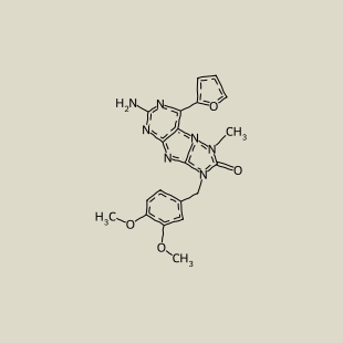 COc1ccc(Cn2c(=O)n(C)n3c4c(-c5ccco5)nc(N)nc4nc23)cc1OC